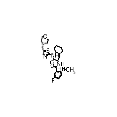 CNc1ccc(F)cc1C(=O)NC(CC1CCCCC1)C(=O)Nc1ncc(CN2CCOCC2)s1